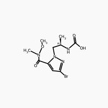 CON(C)C(=O)c1cc(Br)nn1C[C@@H](C)NC(=O)O